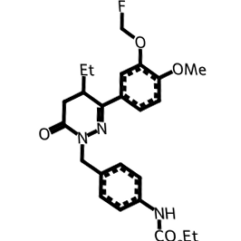 CCOC(=O)Nc1ccc(CN2N=C(c3ccc(OC)c(OCF)c3)C(CC)CC2=O)cc1